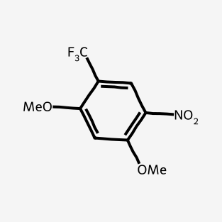 COc1cc(OC)c(C(F)(F)F)cc1[N+](=O)[O-]